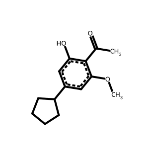 COc1cc(C2CCCC2)cc(O)c1C(C)=O